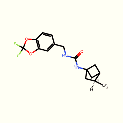 O=C(NCc1ccc2c(c1)OC(F)(F)O2)NC12CC(C1)[C@@H](C(F)(F)F)C2